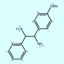 COc1ccc(C(N)C(N)c2ccccc2)cc1